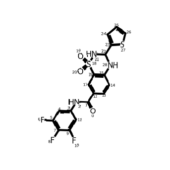 O=C(Nc1cc(F)c(F)c(F)c1)c1ccc2c(c1)S(=O)(=O)NC(c1cccs1)N2